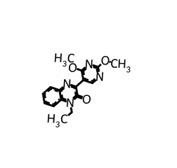 CCn1c(=O)c(-c2cnc(OC)nc2OC)nc2ccccc21